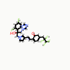 O=C1CC(CC(F)(F)C(F)F)=CC=C1/C=C/c1ccn(CC(O)(Cn2cncn2)c2ccc(F)cc2F)c1